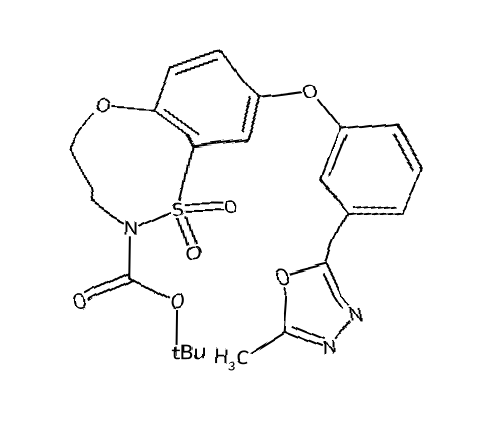 Cc1nnc(-c2cccc(Oc3ccc4c(c3)S(=O)(=O)N(C(=O)OC(C)(C)C)CCO4)c2)o1